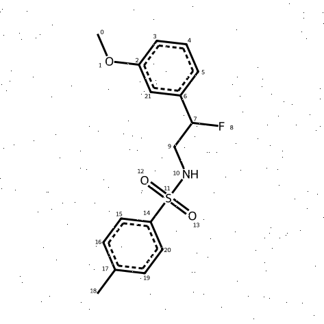 COc1cccc(C(F)CNS(=O)(=O)c2ccc(C)cc2)c1